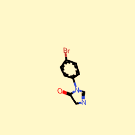 O=C1CN=CN1c1ccc(Br)cc1